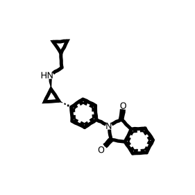 O=C1c2ccccc2C(=O)N1c1ccc([C@@H]2C[C@H]2NCC2CC2)cc1